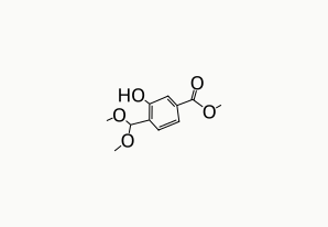 COC(=O)c1ccc(C(OC)OC)c(O)c1